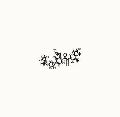 Cc1cn2cc(NC(=O)c3ccc(N4CCC(NC5COC5)C4)c4cn(C)nc34)cc(F)c2n1